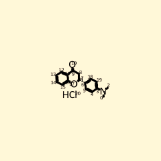 CN(C)c1ccc([C@H]2CC(=O)c3ccccc3O2)cc1.Cl